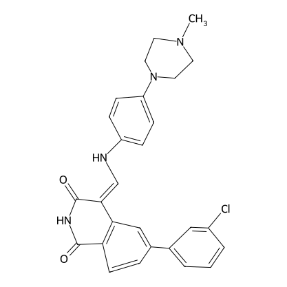 CN1CCN(c2ccc(NC=C3C(=O)NC(=O)c4ccc(-c5cccc(Cl)c5)cc43)cc2)CC1